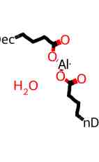 CCCCCCCCCCCCCC(=O)[O][Al][O]C(=O)CCCCCCCCCCCCC.O